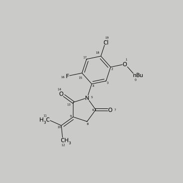 CCCCOc1cc(N2C(=O)CC(=C(C)C)C2=O)c(F)cc1Cl